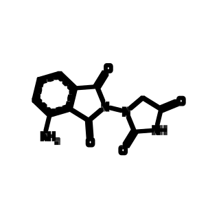 Nc1cccc2c1C(=O)N(N1CC(=O)NC1=O)C2=O